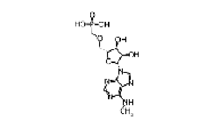 CNc1ncnc2c1ncn2[C@@H]1O[C@H](COCP(=O)(O)O)[C@@H](O)[C@H]1O